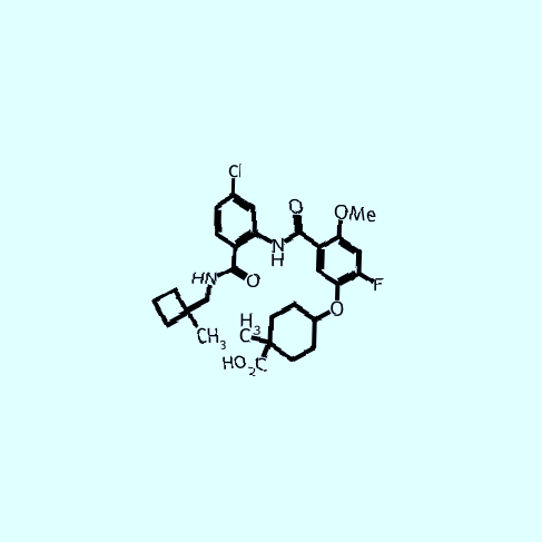 COc1cc(F)c(OC2CCC(C)(C(=O)O)CC2)cc1C(=O)Nc1cc(Cl)ccc1C(=O)NCC1(C)CCC1